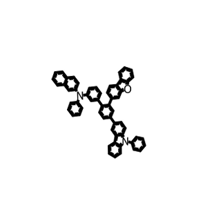 c1ccc(N(c2cccc(-c3ccc(-c4ccc5c(c4)c4ccccc4n5-c4ccccc4)cc3-c3ccc4c(c3)oc3ccccc34)c2)c2ccc3ccccc3c2)cc1